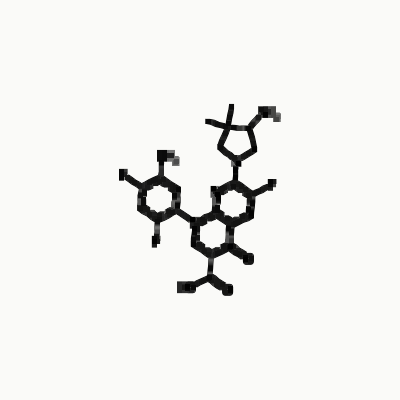 CC1(C)CN(c2nc3c(cc2F)c(=O)c(C(=O)O)cn3-c2cc(N)c(F)cc2F)CC1N